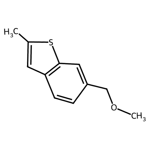 COCc1ccc2cc(C)sc2c1